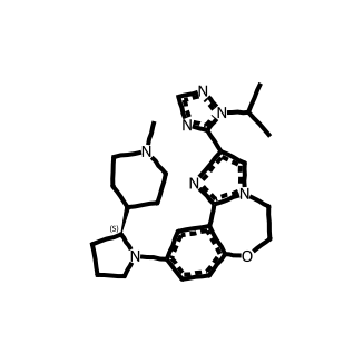 CC(C)n1ncnc1-c1cn2c(n1)-c1cc(N3CCC[C@H]3C3CCN(C)CC3)ccc1OCC2